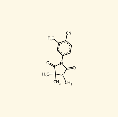 CN1C(=O)N(c2ccc(C#N)c(C(F)(F)F)c2)C(=O)C1(C)C